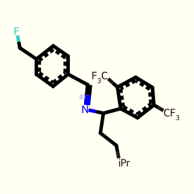 CC(C)CCC(/N=C/c1ccc(CF)cc1)c1cc(C(F)(F)F)ccc1C(F)(F)F